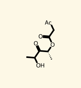 CC(=O)CC(=O)O[C@H](C)C(=O)C(C)O